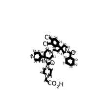 O=C(O)CN1CCN(C(=O)NC2(c3ccncc3)CCN(CCC3(c4ccc(Cl)c(Cl)c4)CCN(C(=O)c4ccccc4)C3)CC2)CC1